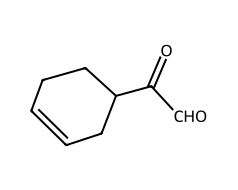 O=CC(=O)C1CC=CCC1